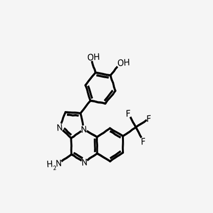 Nc1nc2ccc(C(F)(F)F)cc2n2c(-c3ccc(O)c(O)c3)cnc12